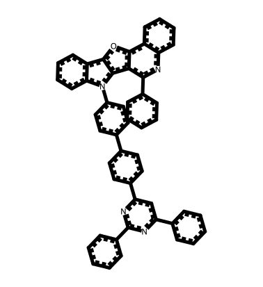 c1ccc(-c2cc(-c3ccc(-c4ccc(-n5c6ccccc6c6oc7c8ccccc8nc(-c8ccccc8)c7c65)cc4)cc3)nc(-c3ccccc3)n2)cc1